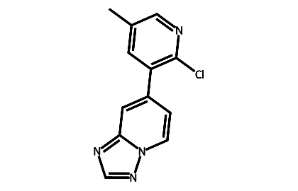 Cc1cnc(Cl)c(-c2ccn3ncnc3c2)c1